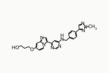 Cn1ncc(-c2ccc(CNc3cc(-c4cnc5cc(OCCCO)ccn45)ncn3)cc2)n1